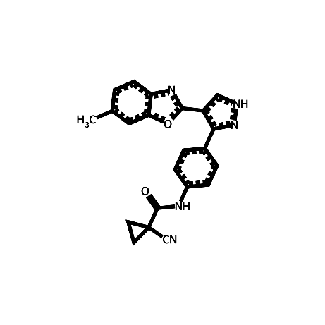 Cc1ccc2nc(-c3c[nH]nc3-c3ccc(NC(=O)C4(C#N)CC4)cc3)oc2c1